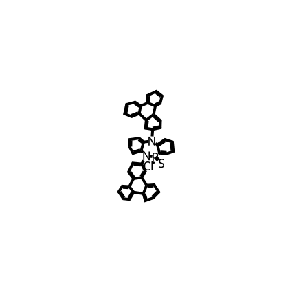 S=P1(Cl)c2ccccc2N(c2ccc3c4ccccc4c4ccccc4c3c2)c2ccccc2N1c1ccc2c3ccccc3c3ccccc3c2c1